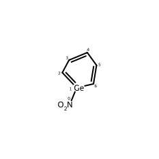 O=[N+]([O-])[Ge]1=[CH]C=CC=[CH]1